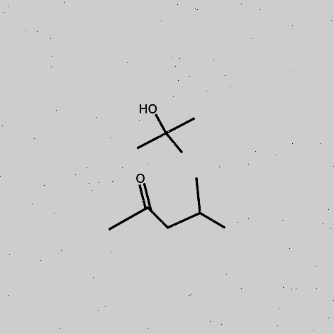 CC(=O)CC(C)C.CC(C)(C)O